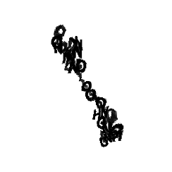 Nc1ncnc2c1c(-c1ccc(Oc3ccccc3)cc1)nn2C1CCCN(C(=O)/C=C/CCCOCCOCCOCCNc2cccc3c2C(=O)N(C2CCC(=O)NC2=O)C3=O)C1